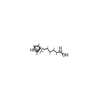 CCCCCNO.c1cc[nH]c1